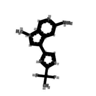 CC(=O)Nc1cc2c(-c3csc(C(C)(F)F)n3)cn(C)c2cn1